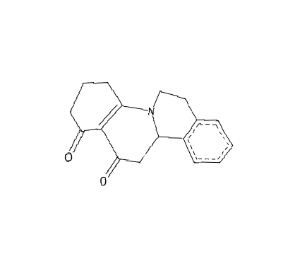 O=C1CCCC2=C1C(=O)CC1c3ccccc3CCN21